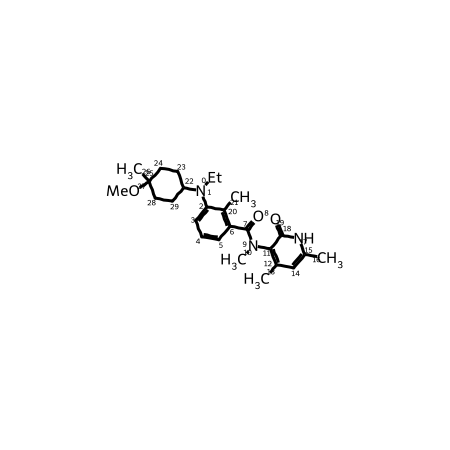 CCN(c1cccc(C(=O)N(C)c2c(C)cc(C)[nH]c2=O)c1C)C1CCC(C)(OC)CC1